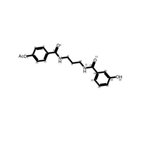 CC(=O)Oc1ccc(C(=O)NCCCNC(=O)c2cccc(O)c2)cc1